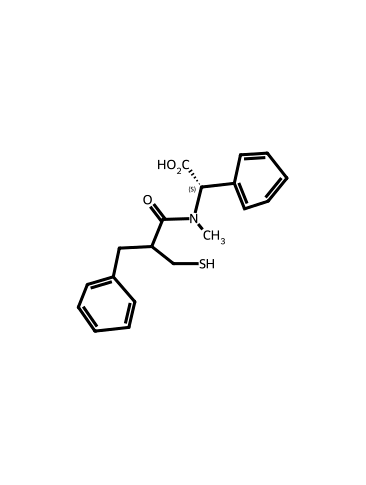 CN(C(=O)C(CS)Cc1ccccc1)[C@H](C(=O)O)c1ccccc1